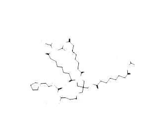 CCCCCCCCC(C)OC(=O)CCCCCCC(=O)OCC(COC(=O)CCCCCCC(=O)OC(C)CCCCCCCC)(COC(=O)CCCCCCC(=O)OC(C)CCCCCCCC)COC(=O)CCC(CCCCCC)OC(=O)NCCN1CCCC1